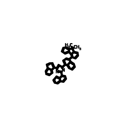 CC1(C)c2ccccc2-c2c(-c3ccc(-c4cc(-c5cccc6ccccc56)nc(-c5cccc6ccccc56)n4)c4ccccc34)cccc21